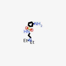 CCN(CC)CCCNS(=O)(=O)c1cccc(N)c1